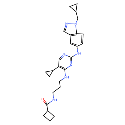 O=C(NCCCNc1nc(Nc2ccc3c(cnn3CC3CC3)c2)ncc1C1CC1)C1CCC1